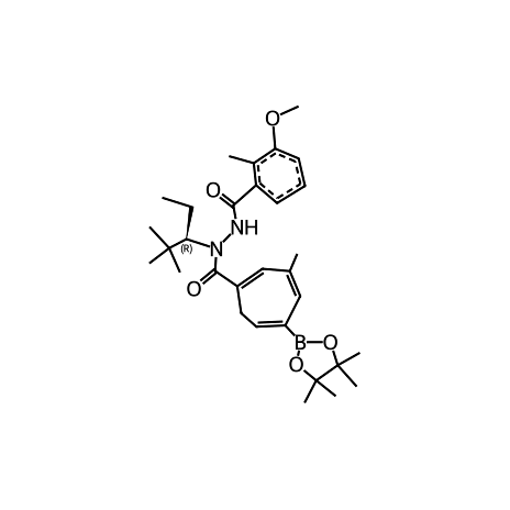 CC[C@@H](N(NC(=O)c1cccc(OC)c1C)C(=O)C1=CC(C)=CC(B2OC(C)(C)C(C)(C)O2)=CC1)C(C)(C)C